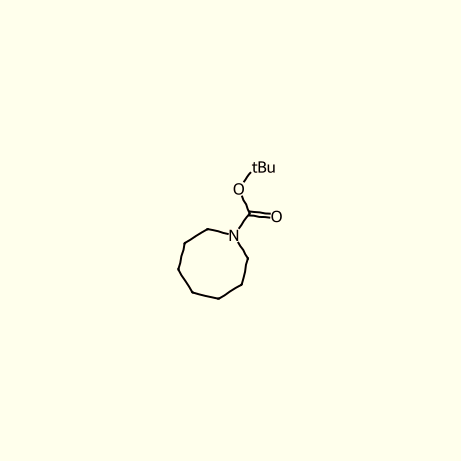 CC(C)(C)OC(=O)N1CCCCCCC1